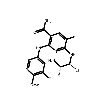 CC[C@@H](Nc1nc(Nc2cnc(OC)c(F)c2)c(C(N)=O)cc1F)[C@H](C)N